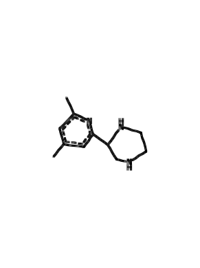 Cc1cc(C)nc(C2CNCCN2)c1